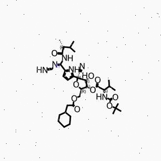 CC(C)[C@H](NC(=O)OC(C)(C)C)C(=O)O[C@H]1[C@@H](O)[C@](C#N)(c2ccc(/C(=N\C=N)NC(=O)[C@H](C)C(C)C)[nH]2)O[C@@H]1COC(=O)CC1CCCCC1